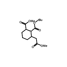 COC(=O)CC1CCCC(C(=O)OC)N1C(=O)OC(C)(C)C